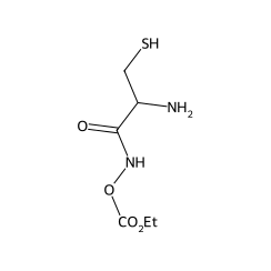 CCOC(=O)ONC(=O)C(N)CS